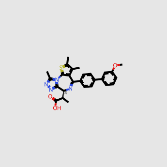 COc1cccc(-c2ccc(C3=N[C@@H](C(C)C(=O)O)c4nnc(C)n4-c4sc(C)c(C)c43)cc2)c1